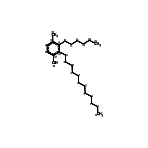 CCCCCCCCCCCCc1c(O)ccc(C)c1CCCCCC